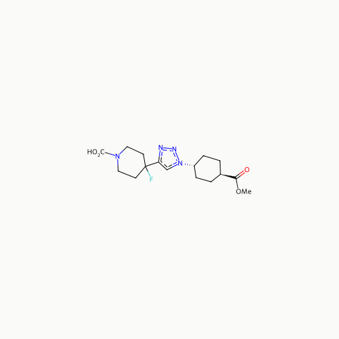 COC(=O)[C@H]1CC[C@H](n2cc(C3(F)CCN(C(=O)O)CC3)nn2)CC1